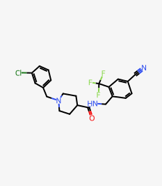 N#Cc1ccc(CNC(=O)C2CCN(Cc3cccc(Cl)c3)CC2)c(C(F)(F)F)c1